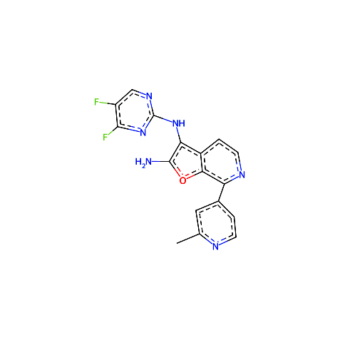 Cc1cc(-c2nccc3c(Nc4ncc(F)c(F)n4)c(N)oc23)ccn1